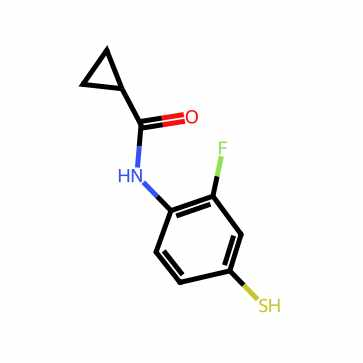 O=C(Nc1ccc(S)cc1F)C1CC1